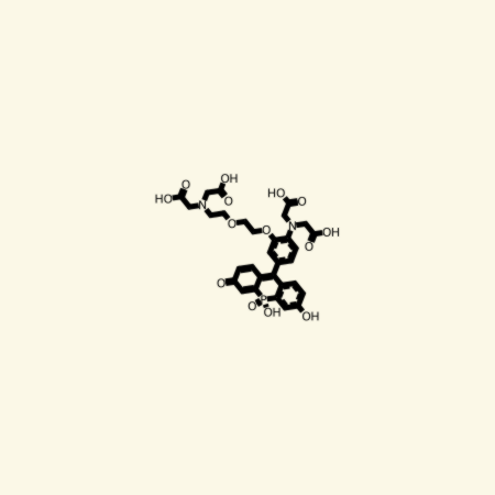 O=C1C=CC2=C(c3ccc(N(CC(=O)O)CC(=O)O)c(OCCOCCN(CC(=O)O)CC(=O)O)c3)c3ccc(O)cc3P(=O)(O)C2=C1